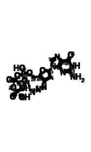 [N-]=[N+]=NC1C[C@H](n2cnc3c(=O)[nH]c(N)nc32)O[C@@H]1COP(=O)(O)OP(=O)(O)OP(=O)(O)O